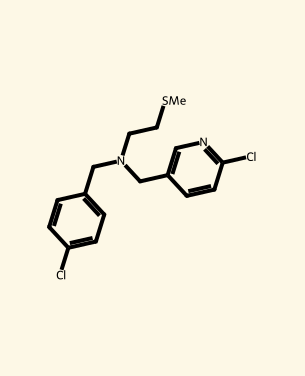 CSCCN(Cc1ccc(Cl)cc1)Cc1ccc(Cl)nc1